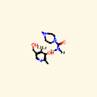 CCN(CC)C(=O)N1CCN(C)CC1.Cc1ncc(CO)c(C=O)c1O